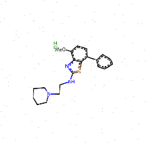 COc1ccc(-c2ccccc2)c2sc(NCCN3CCCCC3)nc12.Cl